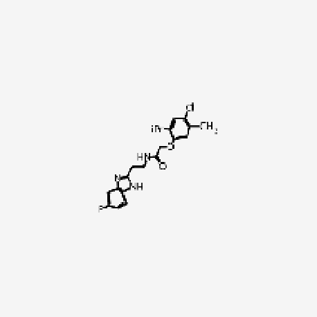 Cc1cc(OCC(=O)NCCc2nc3cc(F)ccc3[nH]2)c(C(C)C)cc1Cl